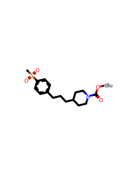 CC(C)(C)OC(=O)N1CCC(CCCc2ccc(S(C)(=O)=O)cc2)CC1